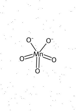 [O]=[Mn](=[O])(=[O])([O-])[O-]